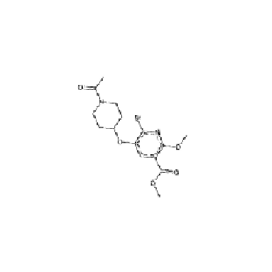 COC(=O)c1cc(OC2CCN(C(C)=O)CC2)c(Br)nc1OC